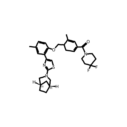 CC1=CC(C(=O)N2CCC(F)(F)CC2)=CCC1COc1ccc(C)cc1-c1csc(N2C[C@@H]3CC[C@@H](C3)C2)n1